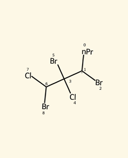 CCC[C](Br)C(Cl)(Br)C(Cl)Br